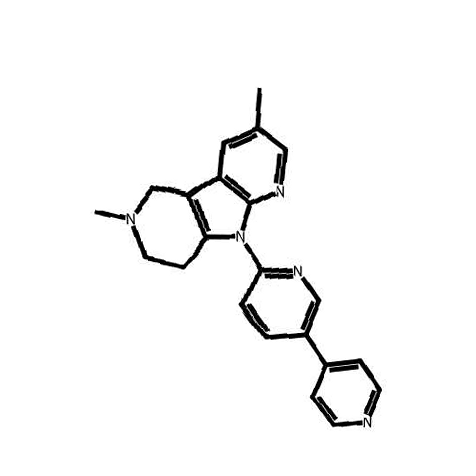 Cc1cnc2c(c1)c1c(n2-c2ccc(-c3ccncc3)cn2)CCN(C)C1